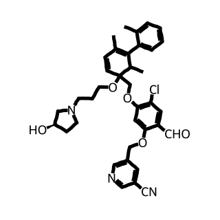 CC1=C(c2ccccc2C)C(C)C(COc2cc(OCc3cncc(C#N)c3)c(C=O)cc2Cl)(OCCCN2CC[C@@H](O)C2)C=C1